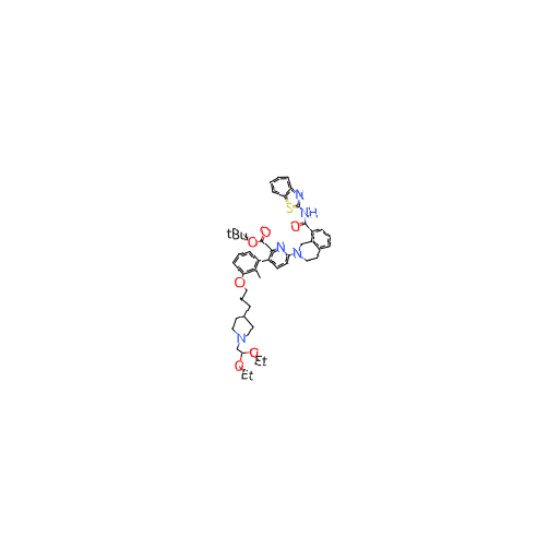 CCOC(CN1CCC(CCCOc2cccc(-c3ccc(N4CCc5cccc(C(=O)Nc6nc7ccccc7s6)c5C4)nc3C(=O)OC(C)(C)C)c2C)CC1)OCC